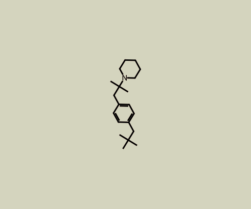 CC(C)(C)Cc1ccc(CC(C)(C)N2CCCCC2)cc1